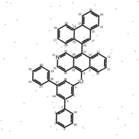 c1ccc(-c2cc(Oc3c4ccccc4c(-c4cc5ccccc5c5ccccc45)c4cnccc34)cc(-c3ccccc3)c2)cc1